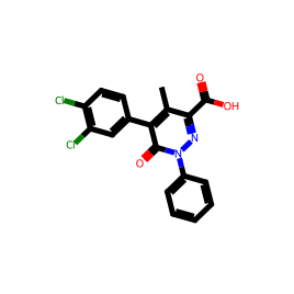 Cc1c(C(=O)O)nn(-c2ccccc2)c(=O)c1-c1ccc(Cl)c(Cl)c1